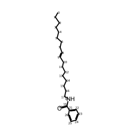 CCCCCCCCC=CCCCCCCCCNC(=O)c1ccccc1